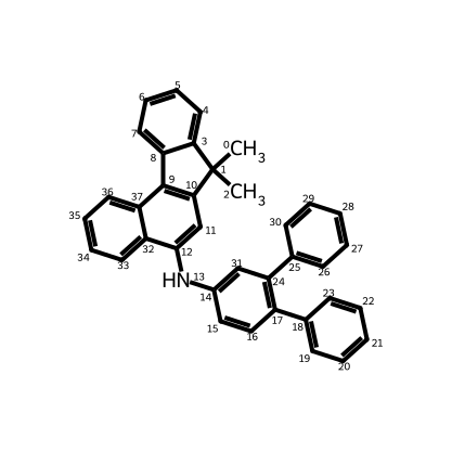 CC1(C)c2ccccc2-c2c1cc(Nc1ccc(-c3ccccc3)c(-c3ccccc3)c1)c1ccccc21